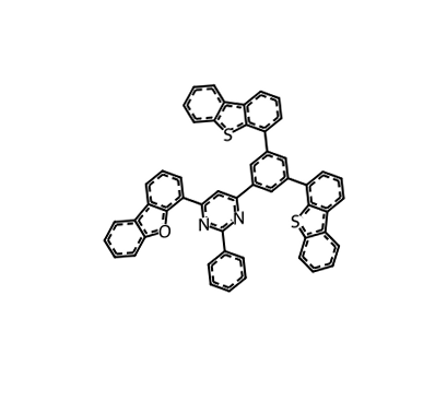 c1ccc(-c2nc(-c3cc(-c4cccc5c4sc4ccccc45)cc(-c4cccc5c4sc4ccccc45)c3)cc(-c3cccc4c3oc3ccccc34)n2)cc1